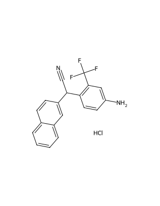 Cl.N#CC(c1ccc2ccccc2c1)c1ccc(N)cc1C(F)(F)F